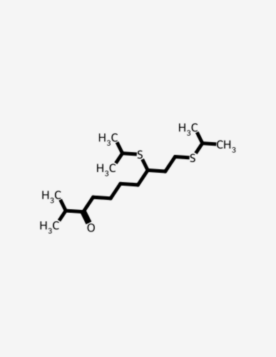 CC(C)SCCC(CCCCC(=O)C(C)C)SC(C)C